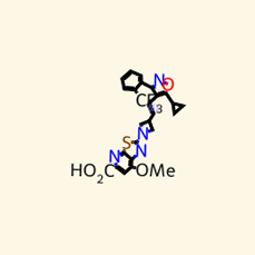 COc1cc(C(=O)O)nc2sc(N3CC(/C=C/c4c(-c5ccccc5C(F)(F)F)noc4C4CC4)C3)nc12